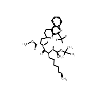 C=CCCCCC[C@H](NC(=O)OC(C)(C)C)C(=O)N1C[C@@]2(CCc3c(c(C(F)(F)F)nc4ccccc34)O2)C[C@H]1C(=O)OC